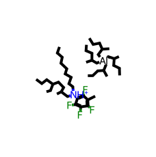 CCCC(C)[CH2][Al-]([CH2]C(C)CCC)([CH2]C(C)CCC)[CH2]C(C)CCC.CCCCCCCCC[NH+](CC(C)CCC(CC)CCC)c1c(F)c(C)c(F)c(F)c1F